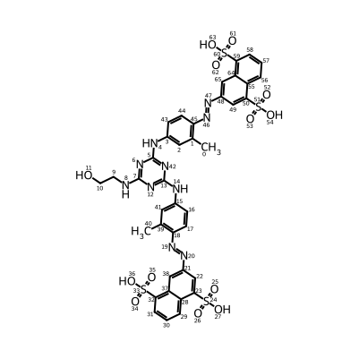 Cc1cc(Nc2nc(NCCO)nc(Nc3ccc(N=Nc4cc(S(=O)(=O)O)c5cccc(S(=O)(=O)O)c5c4)c(C)c3)n2)ccc1N=Nc1cc(S(=O)(=O)O)c2cccc(S(=O)(=O)O)c2c1